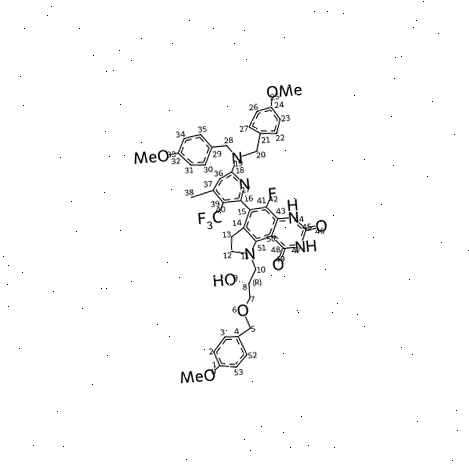 COc1ccc(COC[C@H](O)CN2CCc3c(-c4nc(N(Cc5ccc(OC)cc5)Cc5ccc(OC)cc5)cc(C)c4C(F)(F)F)c(F)c4[nH]c(=O)[nH]c(=O)c4c32)cc1